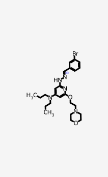 CCCN(CCC)c1cc(N/N=C/c2cccc(Br)c2)nc(OCCN2CCOCC2)c1